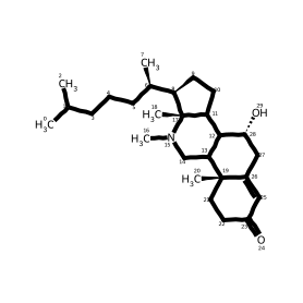 CC(C)CCC[C@@H](C)[C@H]1CCC2C3C(CN(C)[C@@]21C)[C@@]1(C)CCC(=O)C=C1C[C@H]3O